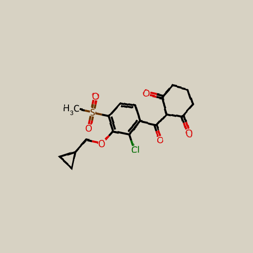 CS(=O)(=O)c1ccc(C(=O)C2C(=O)CCCC2=O)c(Cl)c1OCC1CC1